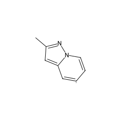 Cc1cc2c[c]ccn2n1